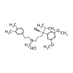 COc1cc(OC)cc(C(C#N)(CCCN(C)CCc2ccc(C)c(C)c2)C(C)C)c1.Cl